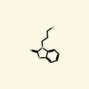 O=C1[N]c2ccccc2N1CCCCl